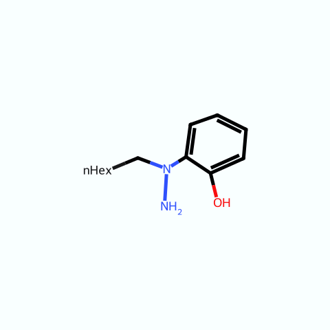 CCCCCCCN(N)c1ccccc1O